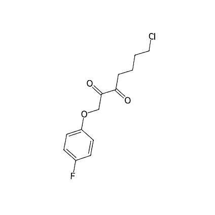 O=C(CCCCCl)C(=O)COc1ccc(F)cc1